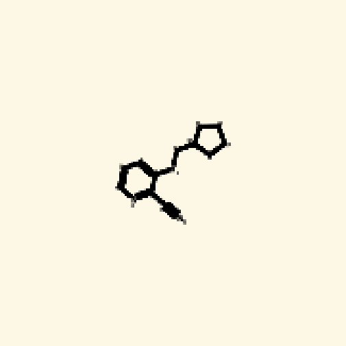 N#Cc1ncccc1SCC1CCCC1